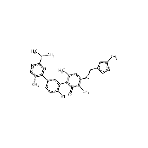 Cc1cc(COc2nc(C)n(-c3cc(-c4nc(C(C)C)ncc4C)ccc3Cl)c(=O)c2C)cs1